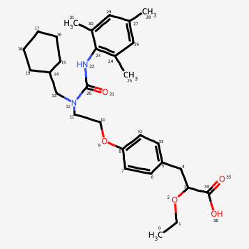 CCOC(Cc1ccc(OCCN(CC2CCCCC2)C(=O)Nc2c(C)cc(C)cc2C)cc1)C(=O)O